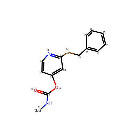 CC(C)(C)NC(=O)Oc1ccnc(SCc2ccccc2)c1